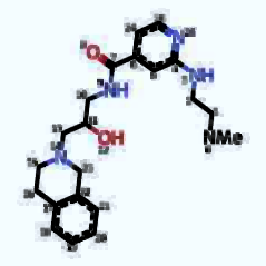 CNCCNc1cc(C(=O)NCC(O)CN2CCc3ccccc3C2)ccn1